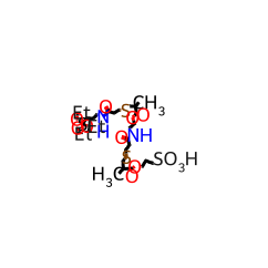 CCO[Si](CCCNC(=O)CCSCC(C)C(=O)OCCNC(=O)CCSCC(C)C(=O)OCCCS(=O)(=O)O)(OCC)OCC